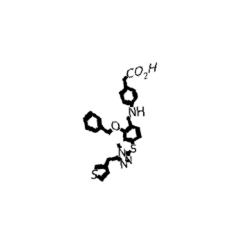 Cn1c(Cc2ccsc2)nnc1Sc1ccc(CNc2ccc(CC(=O)O)cc2)c(OCc2ccccc2)c1